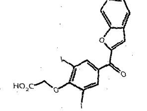 O=C(O)COc1c(I)cc(C(=O)c2cc3ccccc3o2)cc1I